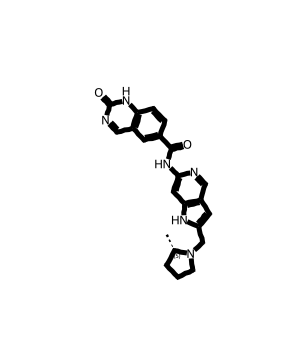 C[C@H]1CCCN1Cc1cc2cnc(NC(=O)c3ccc4[nH]c(=O)ncc4c3)cc2[nH]1